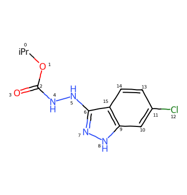 CC(C)OC(=O)NNc1n[nH]c2cc(Cl)ccc12